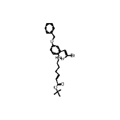 CC(C)(C)OC(=O)C=CCCCNc1ccc(OCc2ccccc2)cc1C=C(Br)Br